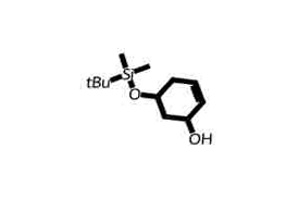 CC(C)(C)[Si](C)(C)OC1CC=CC(O)C1